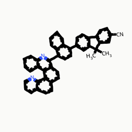 CC1(C)c2cc(C#N)ccc2-c2ccc(-c3ccc(-c4nc5ccccc5c5c4ccc4ccc6cccnc6c45)c4ccccc34)cc21